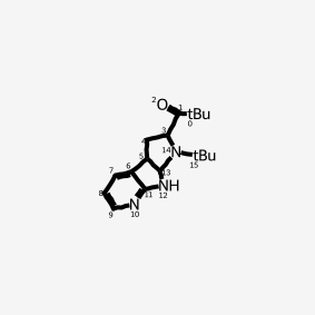 CC(C)(C)C(=O)C1CC2c3cccnc3NC2N1C(C)(C)C